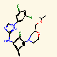 Cc1cc(Nc2ncn(-c3cc(F)cc(F)c3)n2)c(F)c(N2CCOC(COC(C)C)C2)c1